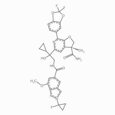 COc1cc(C(=O)NCC(O)(c2cc3c(c(-c4ccc5c(c4)OC(F)(F)O5)n2)OC[C@]3(C)C(N)=O)C2CC2)cc2cn(C3(F)CC3)nc12